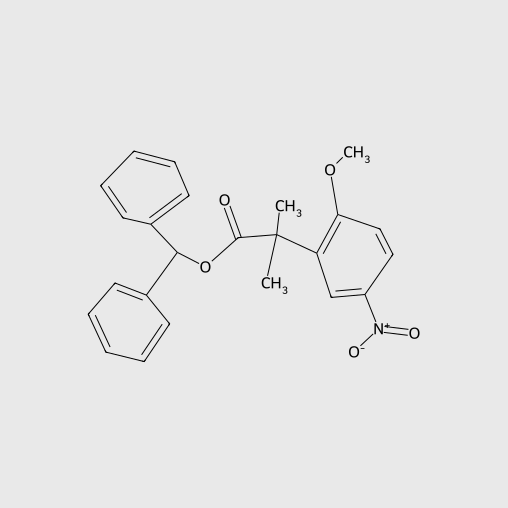 COc1ccc([N+](=O)[O-])cc1C(C)(C)C(=O)OC(c1ccccc1)c1ccccc1